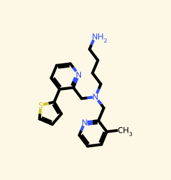 Cc1cccnc1CN(CCCCN)Cc1ncccc1-c1cccs1